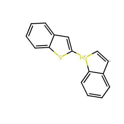 [C]1=C[SH](c2cc3ccccc3s2)c2ccccc21